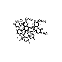 COc1ccc(C2(c3ccc(OC)cc3)C=Cc3c4c(c5c6c(c(OC)cc5c3O2)OC2CCCCC62)-c2ccccc2C42CC(C)(C)CC(C)(C)C2)cc1